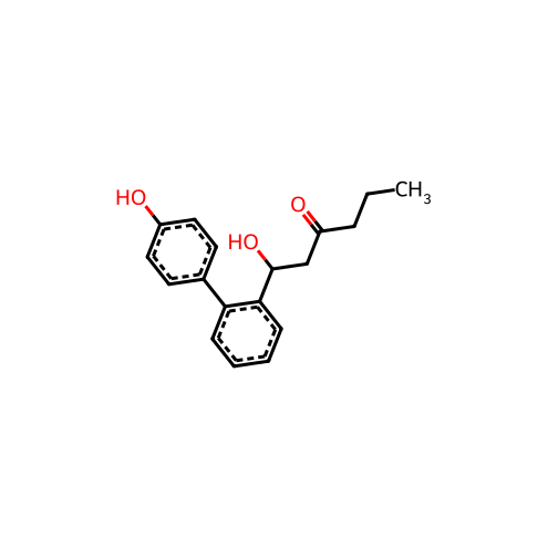 CCCC(=O)CC(O)c1ccccc1-c1ccc(O)cc1